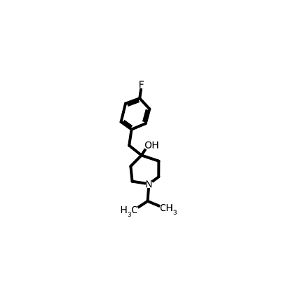 CC(C)N1CCC(O)(Cc2ccc(F)cc2)CC1